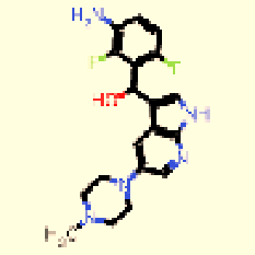 CN1CCN(c2cnc3[nH]cc(C(O)c4c(F)ccc(N)c4F)c3c2)CC1